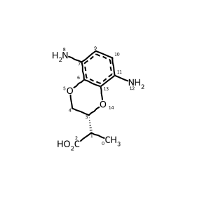 CC(C(=O)O)[C@@H]1COc2c(N)ccc(N)c2O1